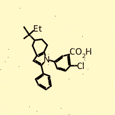 CCC(C)(C)C1CCc2c(cc(-c3ccccc3)n2-c2ccc(Cl)c(C(=O)O)c2)C1